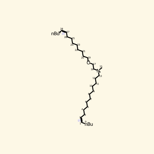 CCCC/C=C\CCCCCCCCCCCN(C)CCOCCCCCCCC/C=C\CCCC